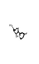 Oc1cnc(-c2cccc(F)c2)c(O)c1